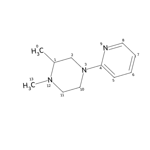 CC1CN(c2cc[c]cn2)CCN1C